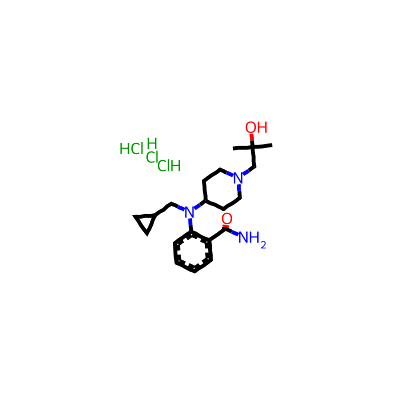 CC(C)(O)CN1CCC(N(CC2CC2)c2ccccc2C(N)=O)CC1.Cl.Cl.Cl